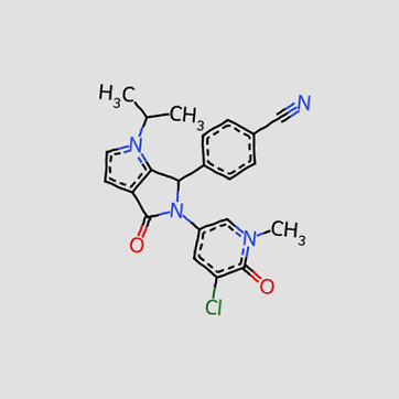 CC(C)n1ccc2c1C(c1ccc(C#N)cc1)N(c1cc(Cl)c(=O)n(C)c1)C2=O